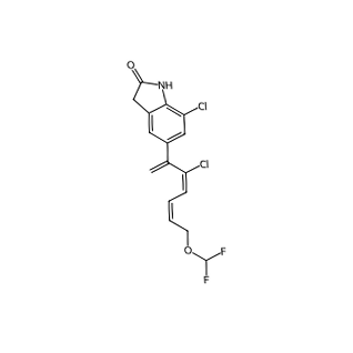 C=C(/C(Cl)=C\C=C/COC(F)F)c1cc(Cl)c2c(c1)CC(=O)N2